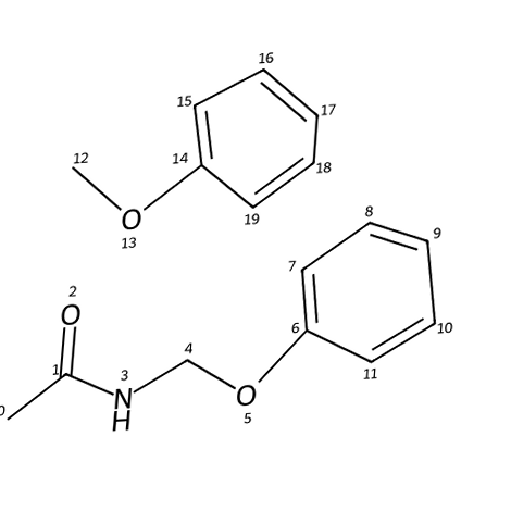 CC(=O)NCOc1ccccc1.COc1ccccc1